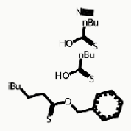 C#N.CCC(C)CCC(=S)OCc1ccccc1.CCCCC(O)=S.CCCCC(O)=S